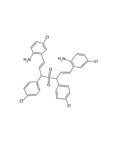 Nc1ccc(Cl)cc1C=CC(c1ccc(Cl)cc1)S(=O)(=O)C(C=Cc1cc(Cl)ccc1N)c1ccc(Cl)cc1